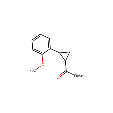 COC(=O)C1CC1c1ccccc1OC(F)(F)F